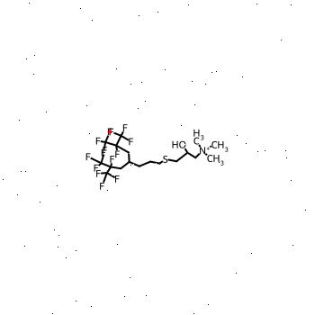 C[N+](C)(C)CC(O)CSCCCC(CC(F)(C(F)(F)F)C(F)(F)F)CC(F)(C(F)(F)F)C(F)(F)F